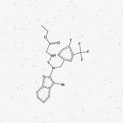 CCOC(=O)CNSN(Cc1ccc(F)c(C(F)(F)F)c1)c1sc2ccccc2c1Br